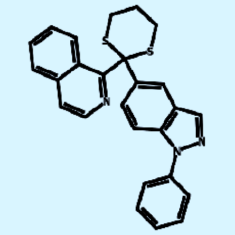 c1ccc(-n2ncc3cc(C4(c5nccc6ccccc56)SCCCS4)ccc32)cc1